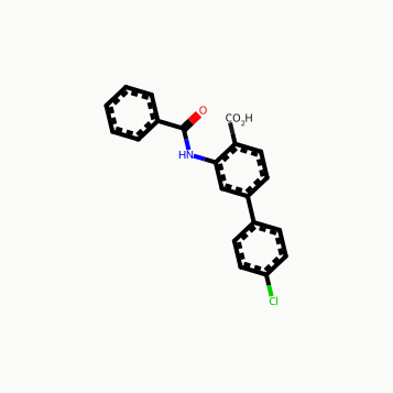 O=C(Nc1cc(-c2ccc(Cl)cc2)ccc1C(=O)O)c1ccccc1